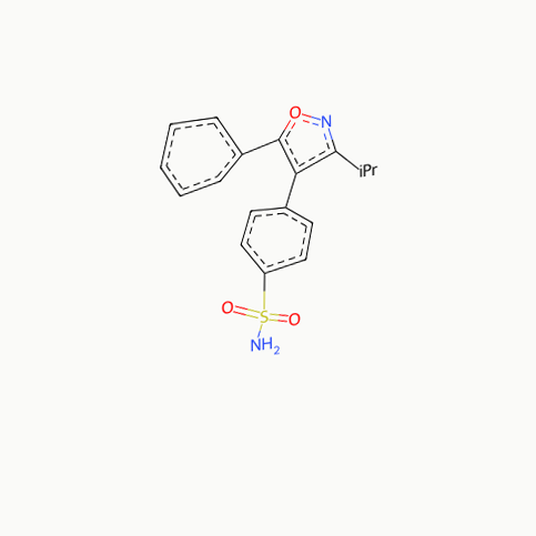 CC(C)c1noc(-c2ccccc2)c1-c1ccc(S(N)(=O)=O)cc1